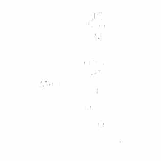 COc1ccc(C(OC(=O)C2CCN(C(=O)OC(C)(C)C)CC2)C(=O)c2ccc(OCCOCc3ccccc3)cc2)cc1